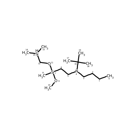 CCCCN(CC[Si](C)(OC)OC[SiH](C)C)C(C)(C)C